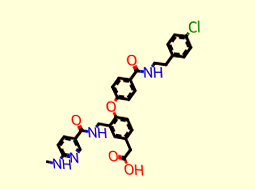 CNc1ccc(C(=O)NCc2cc(CC(=O)O)ccc2Oc2ccc(C(=O)NCCc3ccc(Cl)cc3)cc2)cn1